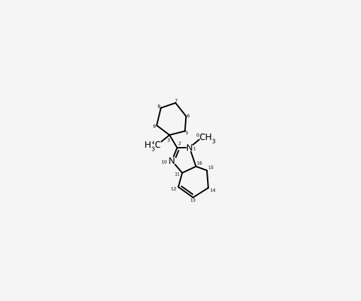 CN1C(C2(C)CCCCC2)=NC2C=CCCC21